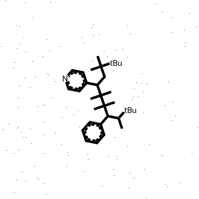 CC(C(c1ccccc1)C(C)(C)C(C)(C)C(CC(C)(C)C(C)(C)C)c1ccncc1)C(C)(C)C